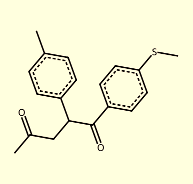 CSc1ccc(C(=O)C(CC(C)=O)c2ccc(C)cc2)cc1